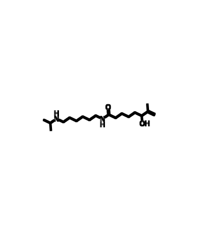 C=C(C)C(O)CCCCC(=O)NCCCCCCNC(C)C